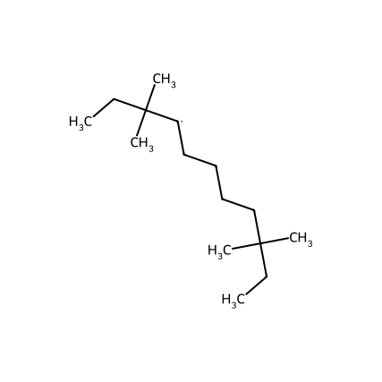 CCC(C)(C)[CH]CCCCC(C)(C)CC